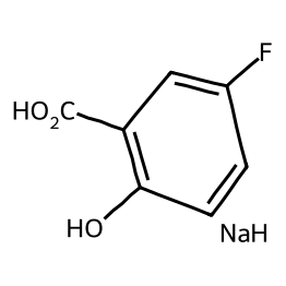 O=C(O)c1cc(F)ccc1O.[NaH]